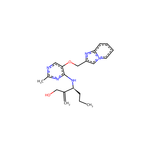 C=C(CO)[C@H](CCC)Nc1nc(C)ncc1OCc1cn2ccccc2n1